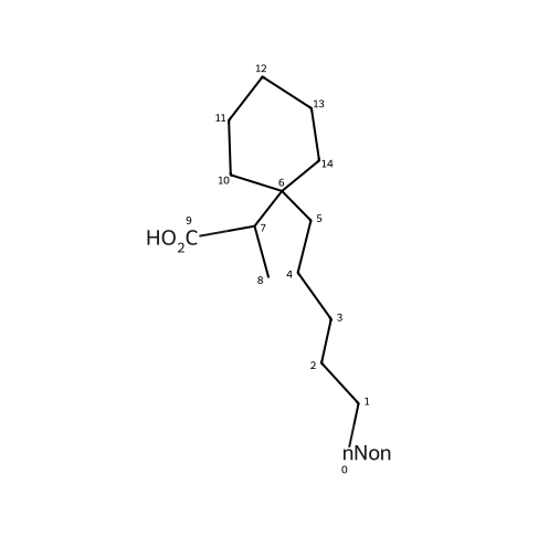 CCCCCCCCCCCCCCC1(C(C)C(=O)O)CCCCC1